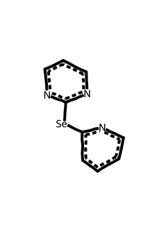 c1ccc([Se]c2ncccn2)nc1